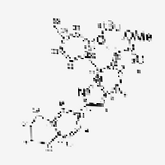 COC(=O)[C@@H](OC(C)(C)C)c1c(C)nc2cc(-c3ccc4c(c3)CCCC4)nn2c1-c1ccc(C)cc1